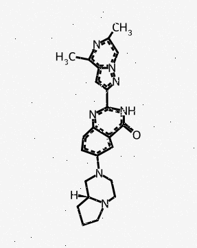 Cc1cn2nc(-c3nc4ccc(N5CCN6CCC[C@@H]6C5)cc4c(=O)[nH]3)cc2c(C)n1